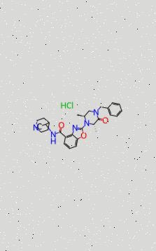 C[C@H]1CN(Cc2ccccc2)C(=O)[C@H](C)N1c1nc2c(C(=O)NC3CN4CCC3CC4)cccc2o1.Cl